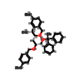 COc1ccc(CO[C@@H](CO[Si](c2ccccc2)(c2ccccc2)C(C)(C)C)C[C@@H](OCc2ccc(OC)cc2)[C@@H](C)C=O)cc1